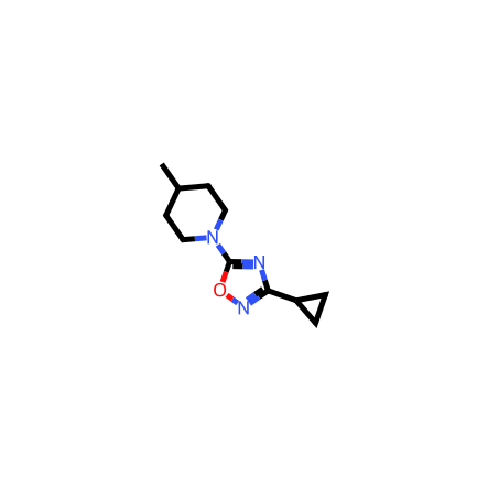 CC1CCN(c2nc(C3CC3)no2)CC1